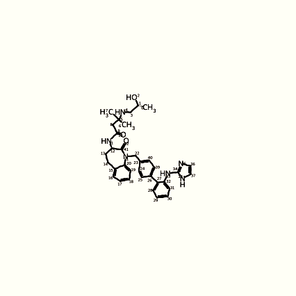 C[C@@H](O)CNC(C)(C)CC(=O)N[C@@H]1CCc2ccccc2N(Cc2ccc(-c3ccccc3Nc3ncc[nH]3)cc2)C1=O